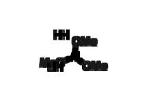 C[O][Al]([O]C)[O]C.[HH].[LiH]